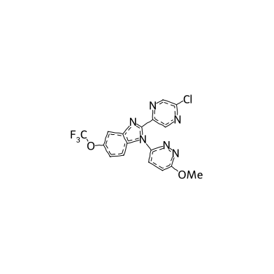 COc1ccc(-n2c(-c3cnc(Cl)cn3)nc3cc(OC(F)(F)F)ccc32)nn1